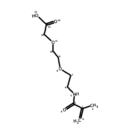 C=C(C)C(=O)NCCOCCOCC(=O)O